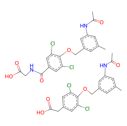 CC(=O)Nc1cc(C)cc(COc2c(Cl)cc(C(=O)NCC(=O)O)cc2Cl)c1.CC(=O)Nc1cc(C)cc(COc2c(Cl)cc(CC(=O)O)cc2Cl)c1